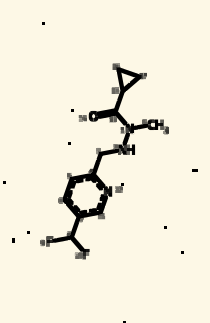 CN(NCc1ccc(C(F)F)cn1)C(=O)C1CC1